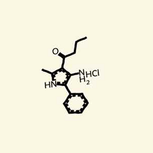 CCCC(=O)c1c(C)[nH]c(-c2ccccc2)c1N.Cl